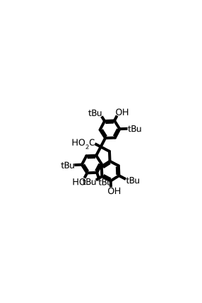 CC(C)(C)c1cc(CC(C(=O)O)(c2cc(C(C)(C)C)c(O)c(C(C)(C)C)c2)c2cc(C(C)(C)C)c(O)c(C(C)(C)C)c2)cc(C(C)(C)C)c1O